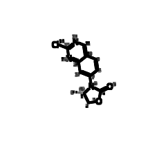 C[C@H]1COC(=O)N1c1ccc2cnc(Cl)nc2c1